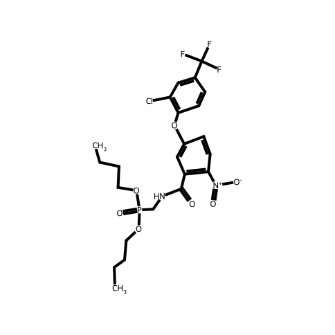 CCCCOP(=O)(CNC(=O)c1cc(Oc2ccc(C(F)(F)F)cc2Cl)ccc1[N+](=O)[O-])OCCCC